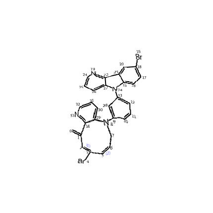 C=C1/C=C(Br)\C=C/CN(c2cccc(-n3c4ccc(Br)cc4c4ncccc43)c2)c2cccnc21